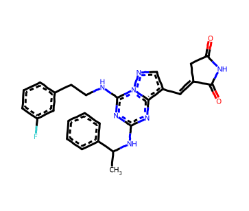 CC(Nc1nc(NCCc2cccc(F)c2)n2ncc(/C=C3\CC(=O)NC3=O)c2n1)c1ccccc1